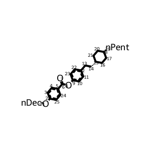 CCCCCCCCCCOc1ccc(C(=O)Oc2ccc(CC[C@H]3CC[C@H](CCCCC)CC3)cc2)cc1